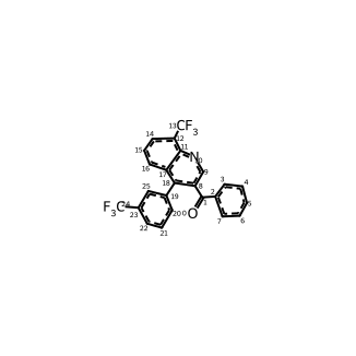 O=C(c1ccccc1)c1cnc2c(C(F)(F)F)cccc2c1-c1cccc(C(F)(F)F)c1